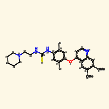 COc1cc2nccc(Oc3cc(C)c(NC(=S)NCCN4CCCCC4)cc3C)c2cc1OC